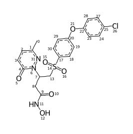 Cc1ccc(=O)n(C(CC(=O)NO)CS(=O)(=O)c2ccc(Oc3ccc(Cl)cc3)cc2)n1